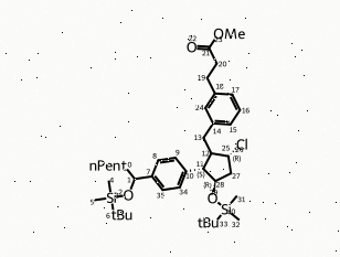 CCCCCC(O[Si](C)(C)C(C)(C)C)c1ccc([C@@H]2C(Cc3cccc(CCC(=O)OC)c3)[C@H](Cl)C[C@H]2O[Si](C)(C)C(C)(C)C)cc1